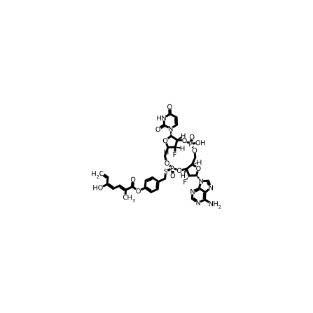 C=C/C(O)=C\C=C(/C)C(=O)Oc1ccc(CSP2(=O)OC[C@H]3O[C@@H](n4ccc(=O)[nH]c4=O)[C@H](OP(=O)(O)OC[C@H]4O[C@@H](n5cnc6c(N)ncnc65)[C@H](F)[C@@H]4O2)[C@@H]3F)cc1